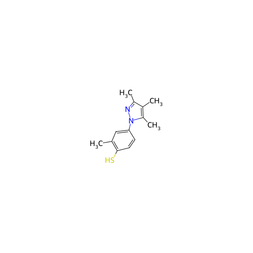 Cc1cc(-n2nc(C)c(C)c2C)ccc1S